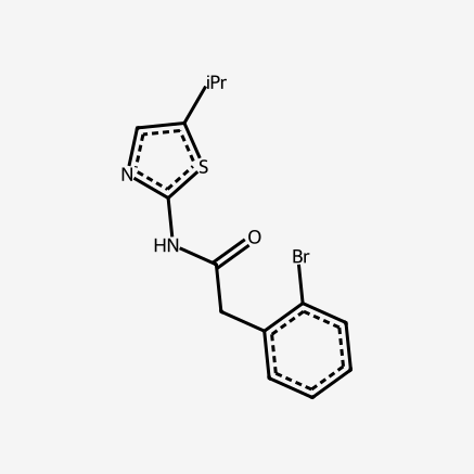 CC(C)c1cnc(NC(=O)Cc2ccccc2Br)s1